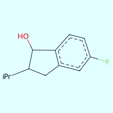 CC(C)C1Cc2cc(F)ccc2C1O